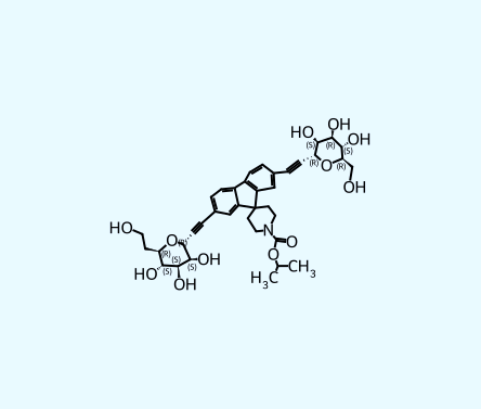 CC(C)OC(=O)N1CCC2(CC1)c1cc(C#C[C@H]3O[C@H](CO)[C@@H](O)[C@H](O)[C@@H]3O)ccc1-c1ccc(C#C[C@H]3O[C@H](CCO)[C@@H](O)[C@H](O)[C@@H]3O)cc12